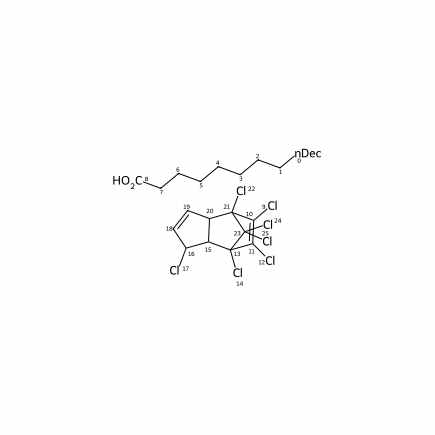 CCCCCCCCCCCCCCCCCC(=O)O.ClC1=C(Cl)C2(Cl)C3C(Cl)C=CC3C1(Cl)C2(Cl)Cl